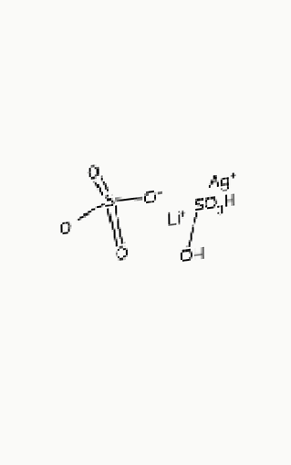 O=S(=O)(O)O.O=S(=O)([O-])[O-].[Ag+].[Li+]